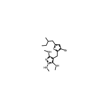 CCC(C)Cc1cc(Br)c(Cc2c(NC)nn(NC)c2NC)s1